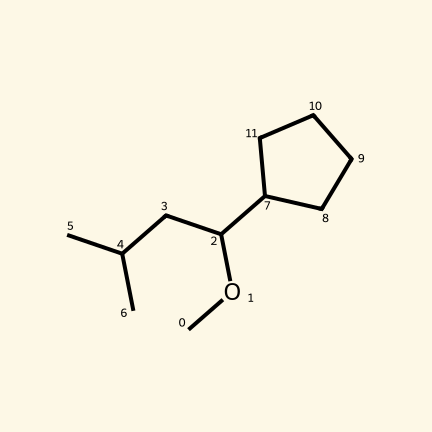 COC(CC(C)C)C1CCCC1